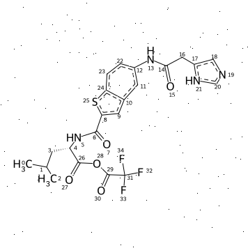 CC(C)C[C@H](NC(=O)c1cc2cc(NC(=O)Cc3cnc[nH]3)ccc2s1)C(=O)OC(=O)C(F)(F)F